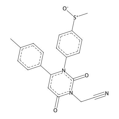 Cc1ccc(-c2cc(=O)n(CC#N)c(=O)n2-c2ccc([S+](C)[O-])cc2)cc1